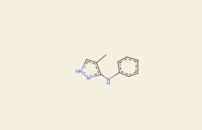 Cc1c[nH]nc1Nc1ccccc1